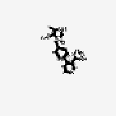 CCCC1=C(C)NC[N+]1([O-])Cc1ccc(-c2ccncc2-c2nnn[nH]2)cc1